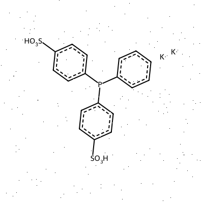 O=S(=O)(O)c1ccc(P(c2ccccc2)c2ccc(S(=O)(=O)O)cc2)cc1.[K].[K]